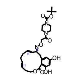 CC(C)(C)OC(=O)N1CCN(C(=O)CO/N=C2/C=C/CC/C=C/CCOC(=O)c3c(O)cc(O)cc3C2)CC1